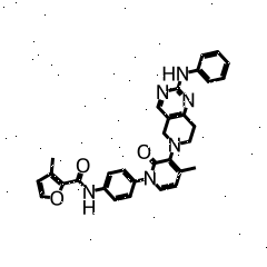 Cc1ccoc1C(=O)Nc1ccc(-n2ccc(C)c(N3CCc4nc(Nc5ccccc5)ncc4C3)c2=O)cc1